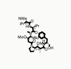 CC[C@H](C)[C@@H]([C@@H](CC(=O)N1CCC[C@H]1[C@H](OC)[C@@H](C)C(=O)N[C@@H](CO)Cc1ccccc1)OC)N(C)C(=O)[C@@H](NC(=O)[C@@H](NC)C(C)C)C(C)C